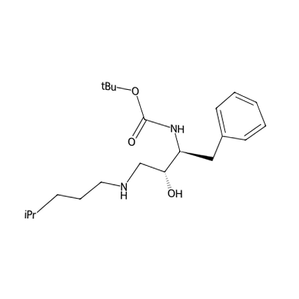 CC(C)CCCNC[C@@H](O)[C@H](Cc1ccccc1)NC(=O)OC(C)(C)C